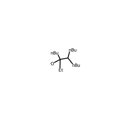 CCCCC(CCCC)C([O])(CC)CCCC